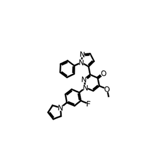 COc1cn(-c2ccc(N3CC=CC3)cc2F)nc(-c2ccnn2-c2ccccc2)c1=O